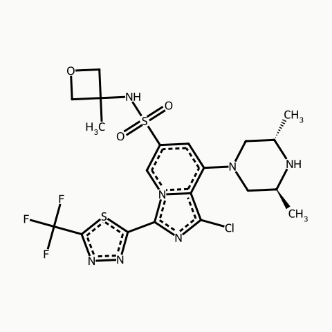 C[C@H]1CN(c2cc(S(=O)(=O)NC3(C)COC3)cn3c(-c4nnc(C(F)(F)F)s4)nc(Cl)c23)C[C@H](C)N1